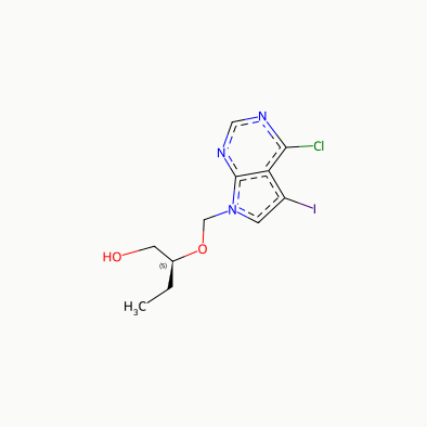 CC[C@@H](CO)OCn1cc(I)c2c(Cl)ncnc21